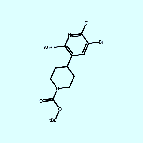 COc1nc(Cl)c(Br)cc1C1CCN(C(=O)OC(C)(C)C)CC1